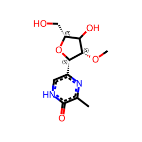 CO[C@H]1C(O)[C@@H](CO)O[C@H]1c1c[nH]c(=O)c(C)n1